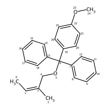 C/C=C(/C)COC(c1ccccc1)(c1ccccc1)c1ccc(OC)cc1